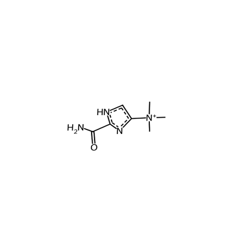 C[N+](C)(C)c1c[nH]c(C(N)=O)n1